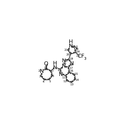 O=c1nccccc1Nc1nc2ccccc2c2nc(-c3c[nH]nc3C(F)(F)F)nn12